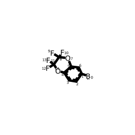 [B]c1ccc2c(c1)OC(F)(F)C(F)(F)O2